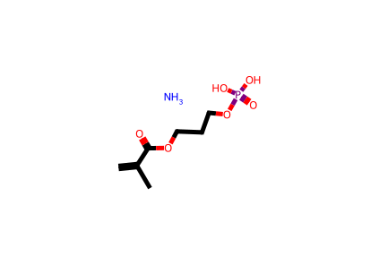 C=C(C)C(=O)OCCCOP(=O)(O)O.N